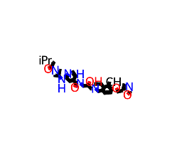 Cc1c(OCc2cnco2)ccc2c1CCN(CC(O)CNC(=O)c1ccnc(NC3CN(C(=O)CC(C)C)C3)c1)C2